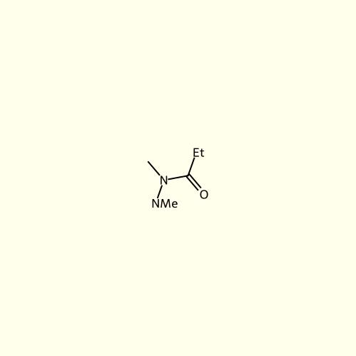 CCC(=O)N(C)NC